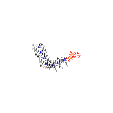 C[N+](C)(C)C.C[N+](C)(C)C.C[N+](C)(C)C.C[N+](C)(C)C.C[N+](C)(C)C.C[N+](C)(C)C.C[N+](C)(C)C.O=C([O-])[O-].O=P([O-])([O-])OP(=O)([O-])OP(=O)([O-])[O-]